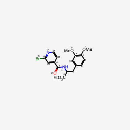 CCOC(=O)C(Cc1ccc(OC)c(OC)c1)NC(=O)c1ccnc(Br)c1